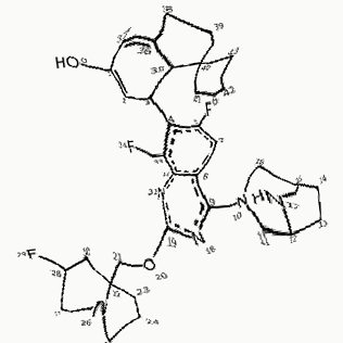 OC1=CC(c2c(F)cc3c(N4CC5CCC(C4)N5)nc(OCC45CCCN4CC(F)C5)nc3c2F)C2C(=C1)CCC21CCC1